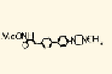 CONC(=O)/C=C/c1ccc(-c2ccc(N3CCN(C)CC3)cc2)cc1